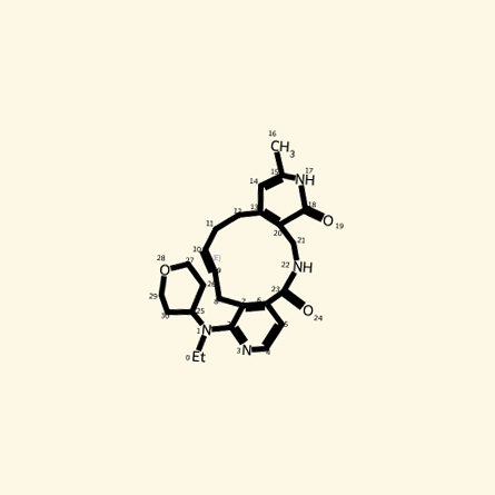 CCN(c1nccc2c1C/C=C/CCc1cc(C)[nH]c(=O)c1CNC2=O)C1CCOCC1